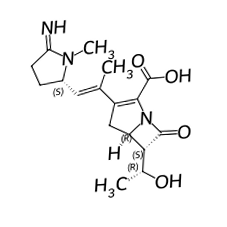 CC(=C[C@@H]1CCC(=N)N1C)C1=C(C(=O)O)N2C(=O)[C@H]([C@@H](C)O)[C@H]2C1